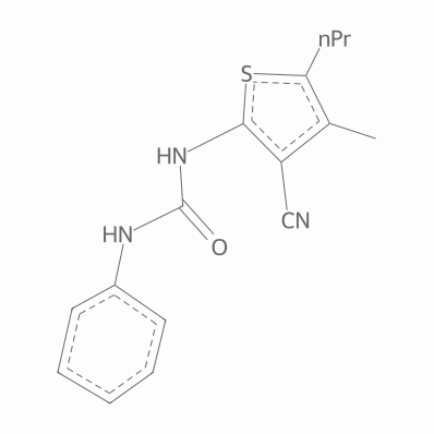 CCCc1sc(NC(=O)Nc2ccccc2)c(C#N)c1C